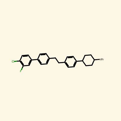 CCCC1CCC(c2ccc(CCc3ccc(-c4ccc(Cl)c(F)c4)cc3)cc2)CC1